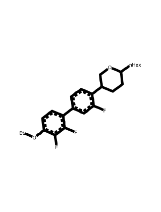 CCCCCCC1CCC(c2ccc(-c3ccc(OCC)c(F)c3F)cc2F)CO1